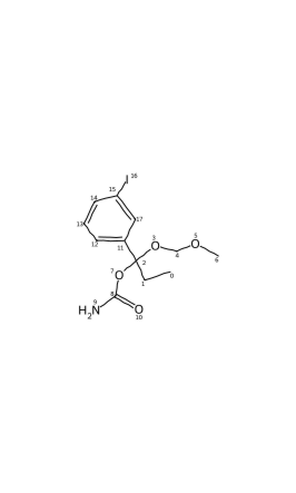 CCC(OCOC)(OC(N)=O)c1cccc(I)c1